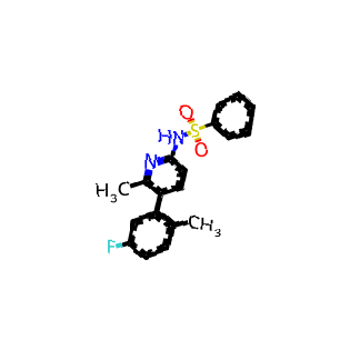 Cc1ccc(F)cc1-c1ccc(NS(=O)(=O)c2ccccc2)nc1C